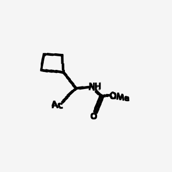 COC(=O)NC(C(C)=O)C1CCC1